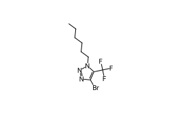 CCCCCCn1nnc(Br)c1C(F)(F)F